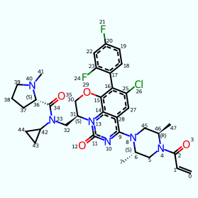 C=CC(=O)N1C[C@H](C)N(c2nc(=O)n3c4c(c(-c5ccc(F)cc5F)c(Cl)cc24)OC[C@@H]3CN(C(=O)[C@@H]2CCCN2C)C2CC2)C[C@H]1C